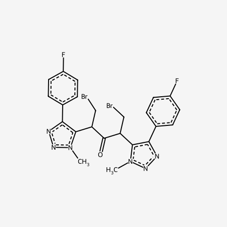 Cn1nnc(-c2ccc(F)cc2)c1C(CBr)C(=O)C(CBr)c1c(-c2ccc(F)cc2)nnn1C